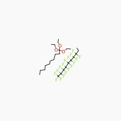 CCC(F)(F)C(F)(F)C(F)(F)C(F)(F)C(F)(F)C(F)(F)C(F)(F)C(F)(F)F.CCCCCCCCCC(OCC)(OCC)OCC